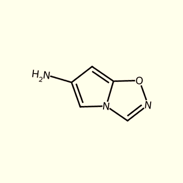 Nc1cc2oncn2c1